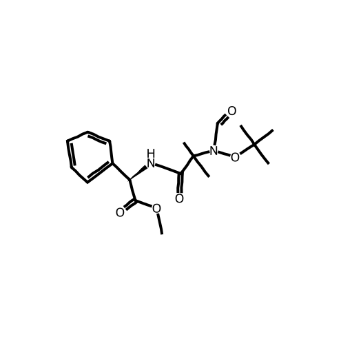 COC(=O)[C@H](NC(=O)C(C)(C)N(C=O)OC(C)(C)C)c1ccccc1